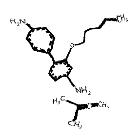 C=C=C(C)C.CCCCCOc1cc(N)ccc1-c1ccc(N)cc1